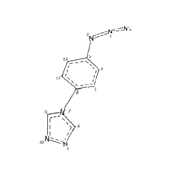 [N-]=[N+]=Nc1ccc(-n2cnnc2)cc1